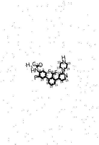 CC(=O)Nc1ccc(-c2cccc(-c3ccnc(N4CCNCC4)c3)c2C(F)F)cc1F